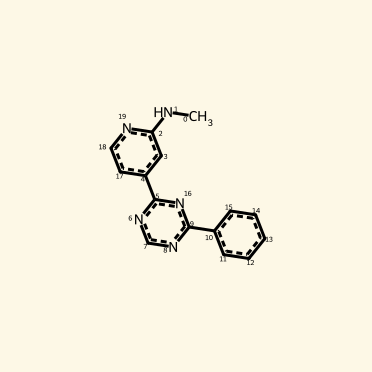 CNc1cc(-c2ncnc(-c3ccccc3)n2)ccn1